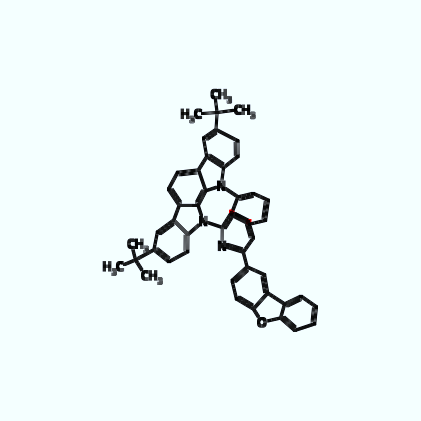 CC(C)(C)c1ccc2c(c1)c1ccc3c4cc(C(C)(C)C)ccc4n(-c4cccc(-c5ccc6oc7ccccc7c6c5)n4)c3c1n2-c1ccccc1